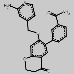 NC(=O)c1cccc(-c2cc3c(cc2OCc2ccnc(N)c2)OCCC3=O)c1